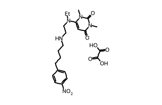 CCN(CCNCCCCc1ccc([N+](=O)[O-])cc1)c1cc(=O)n(C)c(=O)n1C.O=C(O)C(=O)O